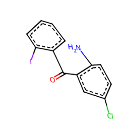 Nc1ccc(Cl)cc1C(=O)c1ccccc1I